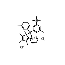 CC1=C(C)C(C)([Si](c2ccccc2)(c2cccc(C)c2)c2cc(C)cc([Si](C)(C)C)c2)[C]([Ti+3])=C1C.[Cl-].[Cl-].[Cl-]